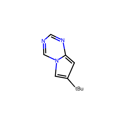 CC(C)(C)c1cc2ncncn2c1